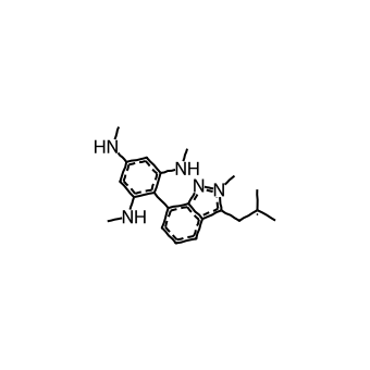 CNc1cc(NC)c(-c2cccc3c(C[C](C)C)n(C)nc23)c(NC)c1